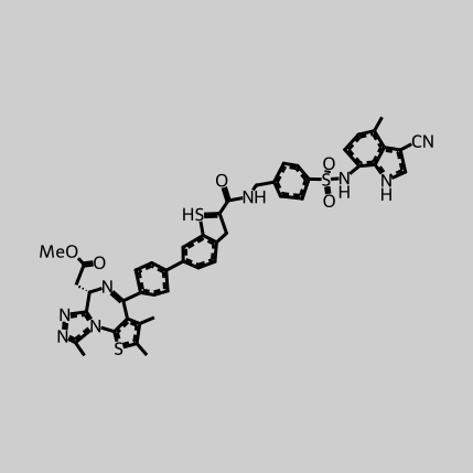 COC(=O)C[C@@H]1N=C(c2ccc(-c3ccc4c(c3)[SH]=C(C(=O)NCc3ccc(S(=O)(=O)Nc5ccc(C)c6c(C#N)c[nH]c56)cc3)C4)cc2)c2c(sc(C)c2C)-n2c(C)nnc21